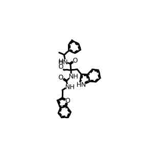 CC(NC(=O)C(CO)(Cc1c[nH]c2ccccc12)NC(=O)NCc1cc2ccccc2o1)c1ccccc1